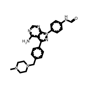 CN1CCN(Cc2ccc(-c3nn(-c4ccc(NC=O)cc4)c4ncnc(N)c34)cc2)CC1